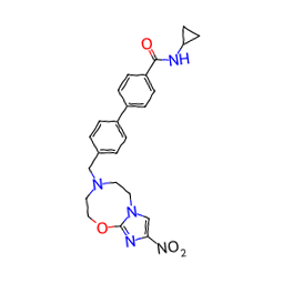 O=C(NC1CC1)c1ccc(-c2ccc(CN3CCOc4nc([N+](=O)[O-])cn4CC3)cc2)cc1